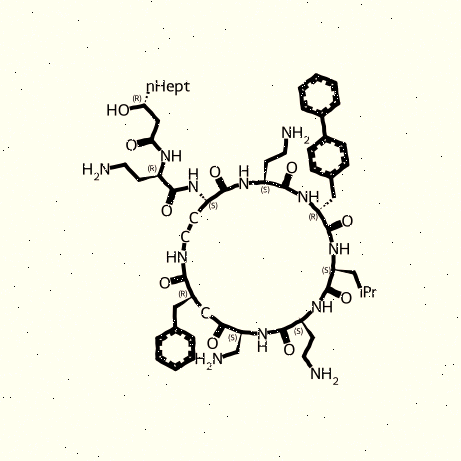 CCCCCCC[C@@H](O)CC(=O)N[C@H](CCN)C(=O)N[C@H]1CCNC(=O)[C@H](Cc2ccccc2)CC(=O)[C@H](CN)NC(=O)[C@H](CCN)NC(=O)[C@H](CC(C)C)NC(=O)[C@@H](Cc2ccc(-c3ccccc3)cc2)NC(=O)[C@H](CCN)NC1=O